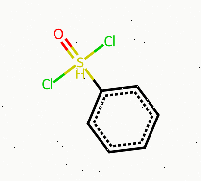 O=[SH](Cl)(Cl)c1ccccc1